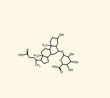 CC(CCC(=O)O)C1CCC2C3CC(OC4OC(C(=O)O)C(O)C(O)C4O)C4CC(O)CCC4(C)C3CCC12C